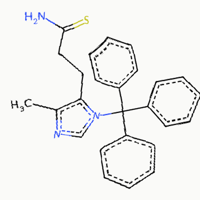 Cc1ncn(C(c2ccccc2)(c2ccccc2)c2ccccc2)c1CCC(N)=S